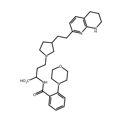 O=C(NC(CCN1CCC(CCc2ccc3c(n2)NCCC3)C1)C(=O)O)c1ccccc1N1CCOCC1